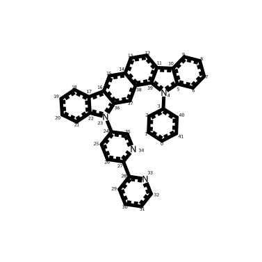 c1ccc(-n2c3ccccc3c3ccc4cc5c6ccccc6n(-c6ccc(-c7ccccn7)nc6)c5cc4c32)cc1